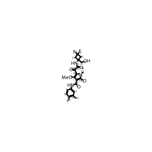 COc1c(C(=O)Nc2ccc(F)c(C)c2)c(Cl)n(C)c1C(=O)C(=O)NC1(CO)CC(F)(F)C1